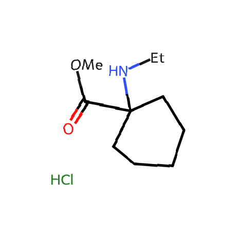 CCNC1(C(=O)OC)CCCCC1.Cl